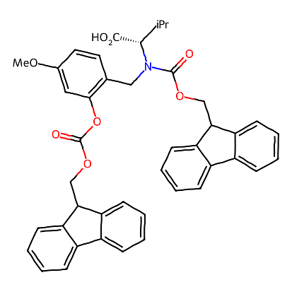 COc1ccc(CN(C(=O)OCC2c3ccccc3-c3ccccc32)[C@H](C(=O)O)C(C)C)c(OC(=O)OCC2c3ccccc3-c3ccccc32)c1